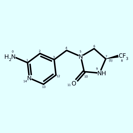 Nc1cc(CN2C[C@@H](C(F)(F)F)NC2=O)ccn1